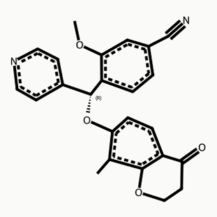 COc1cc(C#N)ccc1[C@H](Oc1ccc2c(c1C)OCCC2=O)c1ccncc1